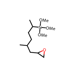 CO[Si](OC)(OC)C(C)CCC(C)CC1CO1